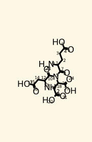 NC(CCC(=O)O)C(=O)N(C(=O)C(N)CC(=O)O)C(CC(=O)O)C(=O)O